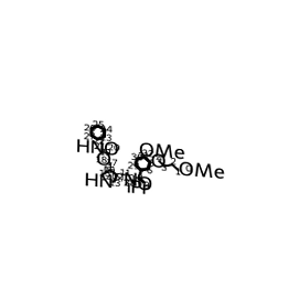 COCCCOc1cc(C(=O)N(C[C@@H]2CNC[C@H]2COC(=O)Nc2ccccc2)C(C)C)ccc1OC